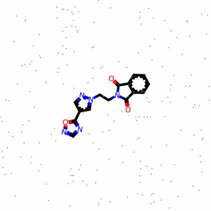 O=C1c2ccccc2C(=O)N1CCn1cc(-c2ncno2)cn1